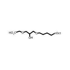 CCCCCCCCCCCCOCC(O)COCC(=O)O